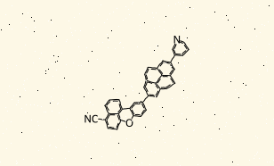 N#Cc1ccc2c3c(cccc13)-c1cc(-c3cc4ccc5cc(-c6cccnc6)cc6ccc(c3)c4c56)ccc1O2